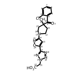 CC1(C(=O)c2ccccc2Cl)CCN(c2cc(-c3nnn(CC(=O)O)n3)on2)CC1